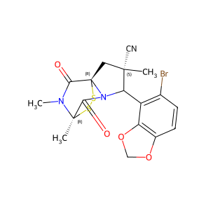 CN1C(=O)[C@]23C[C@](C)(C#N)C(c4c(Br)ccc5c4OCO5)N2C(=O)[C@@]1(C)SS3